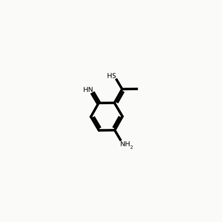 C/C(S)=C1\C=C(N)C=CC1=N